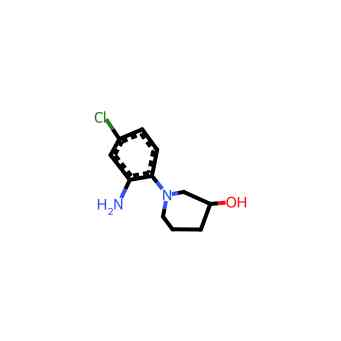 Nc1cc(Cl)ccc1N1CCCC(O)C1